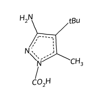 Cc1c(C(C)(C)C)c(N)nn1C(=O)O